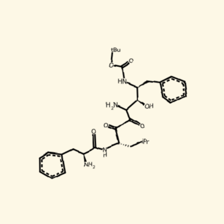 CC(C)C[C@H](NC(=O)[C@@H](N)Cc1ccccc1)C(=O)C(=O)C(N)[C@H](O)[C@H](Cc1ccccc1)NC(=O)OC(C)(C)C